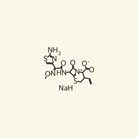 C=CC1CSC2=[N+](C(=O)C2NC(=O)C(=NOC)c2csc(N)n2)C1C(=O)[O-].[NaH]